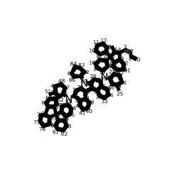 C=C/C=C\C1=C(C)C(c2ccccc2)(c2cccc(N(c3cccc(C)c3)c3cc4c(c5ccccc35)c3c5ccccc5c(N(c5cccc(C)c5)c5cccc(C6(c7ccccc7)c7ccccc7-c7ccccc76)c5)cc3n4-c3ccccc3)c2)c2ccccc21